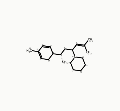 CC(C)=CC(C[C@H](C)C1C=CC(C)=CC1)N1CCCCC1